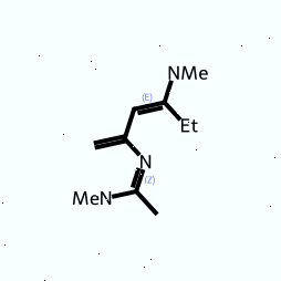 C=C(/C=C(\CC)NC)/N=C(/C)NC